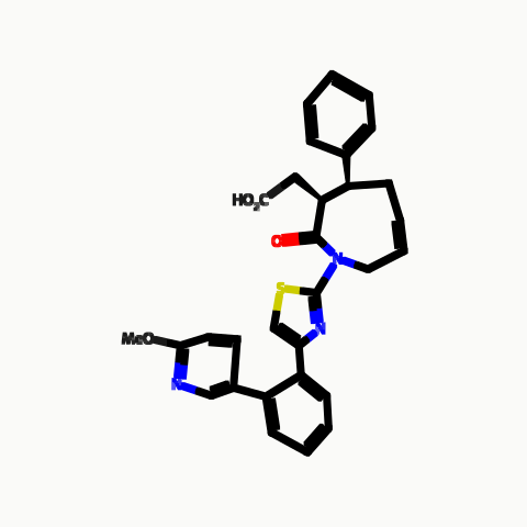 COc1ccc(-c2ccccc2-c2csc(N3C/C=C\C[C@H](c4ccccc4)[C@H](CC(=O)O)C3=O)n2)cn1